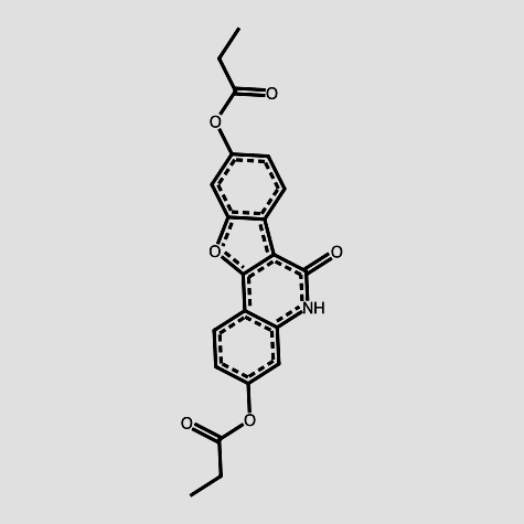 CCC(=O)Oc1ccc2c(c1)[nH]c(=O)c1c3ccc(OC(=O)CC)cc3oc21